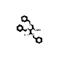 COC(COCc1ccccc1)C(OCc1ccccc1)C(C)OCc1ccccc1